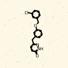 O=c1ccc(Cc2cccc(OCc3cccc(Cl)c3)c2)n[nH]1